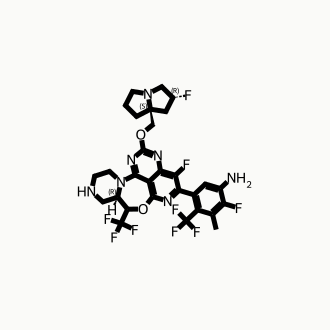 Cc1c(F)c(N)cc(-c2nc3c4c(nc(OC[C@@]56CCCN5C[C@H](F)C6)nc4c2F)N2CCNC[C@@H]2C(C(F)(F)F)O3)c1C(F)(F)F